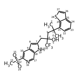 CC(C)(CC(O)(Cc1cc2cc(S(C)(=O)=O)ncc2[nH]1)C(F)(F)F)c1cccc2ccsc12